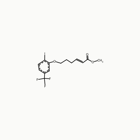 COC(=O)C=CCCCOc1cc(C(F)(F)F)ccc1I